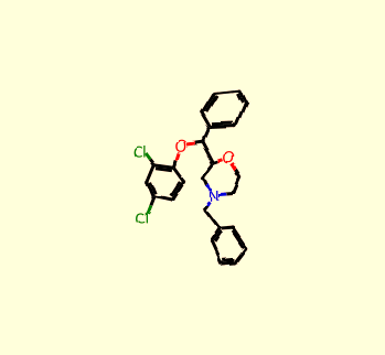 Clc1ccc(OC(c2ccccc2)C2CN(Cc3ccccc3)CCO2)c(Cl)c1